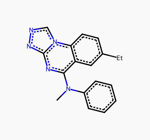 CCc1ccc2c(c1)c(N(C)c1ccccc1)nc1nncn12